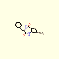 O=C1NC(Cc2ccccc2)C(=O)Nc2cc([N+](=O)[O-])ccc21